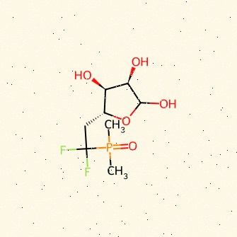 CP(C)(=O)C(F)(F)C[C@H]1OC(O)[C@H](O)[C@@H]1O